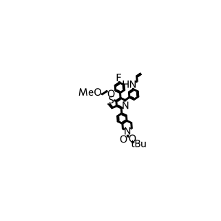 C=CCNc1cccc(-c2nc(-c3ccc4c(c3)CCN(C(=O)OC(C)(C)C)C4)c3ccsc3c2-c2ccc(F)cc2OCCOC)c1